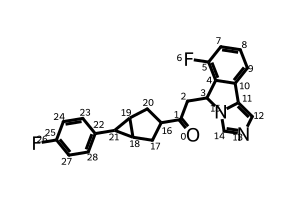 O=C(CC1c2c(F)cccc2-c2cncn21)C1CC2C(C1)C2c1ccc(F)cc1